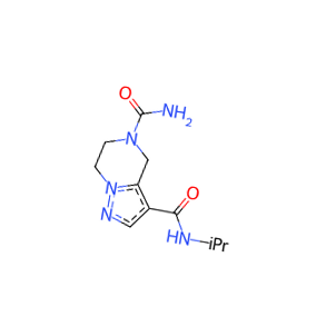 CC(C)NC(=O)c1cnn2c1CN(C(N)=O)CC2